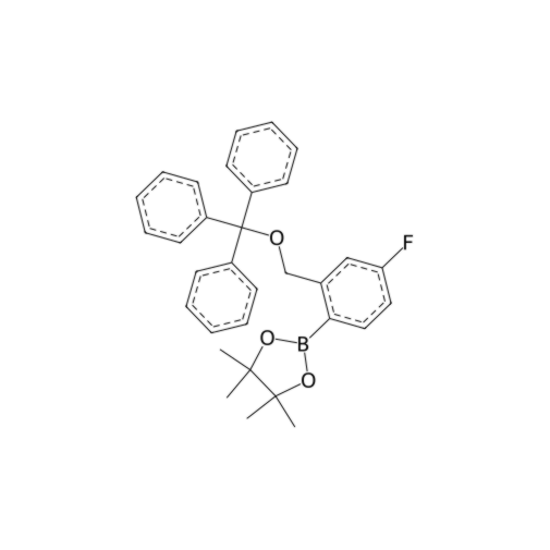 CC1(C)OB(c2ccc(F)cc2COC(c2ccccc2)(c2ccccc2)c2ccccc2)OC1(C)C